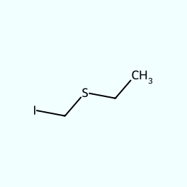 CCSCI